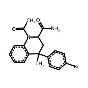 CC(=O)N1c2cc[c]cc2C(C)(c2ccc(Br)cc2)CC1C(N)=O